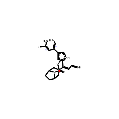 CC(C)(C)OC(=O)N1C2CCC1CN(/C(=C/C=N)c1cc(C(/C=C(\N)Cl)=C/N)c[nH]1)C2